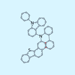 c1ccc(-c2ccccc2N(c2ccc3ccc4c5ccccc5sc4c3c2)c2cccc3c2c2ccccc2n3-c2ccccc2)cc1